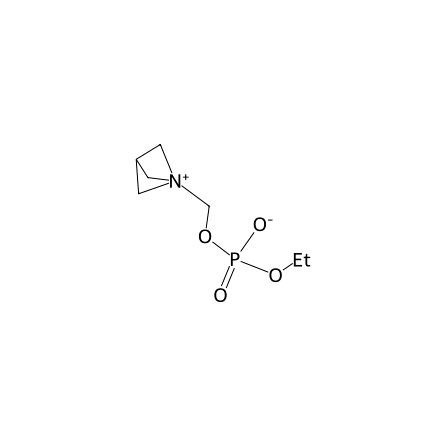 CCOP(=O)([O-])OC[N+]12CC(C1)C2